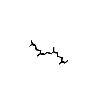 [CH2]C=C(C)CCC=C(C)CCC=C(C)CCC=C(C)C